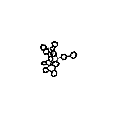 c1ccc(-c2ccc(N(c3ccc4c(c3)C3(c5ccccc5-c5ccccc5-4)c4ccccc4-c4c3ccc3sc5ccccc5c43)c3ccc4c(c3)c3ccccc3n4-c3ccccc3)cc2)cc1